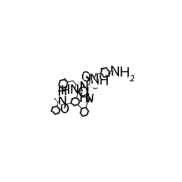 CC[C@H](NC[C@@H](Cc1ccccc1)NC(=O)c1cc(C(=O)N[C@H](C)c2ccccc2)cc(-c2ccccc2C#N)c1)C(=O)NCc1ccc(N)cc1